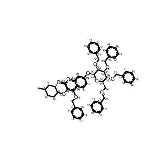 CC1CCC(Oc2c(OCc3ccccc3)c3ccc(O[C@@H]4O[C@H](COCc5ccccc5)[C@@H](OCc5ccccc5)[C@H](OCc5ccccc5)[C@H]4OCc4ccccc4)cc3oc2=O)CC1